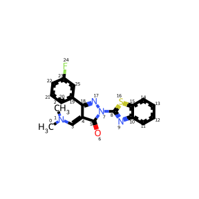 CN(C)/C=C1/C(=O)N(c2nc3ccccc3s2)N=C1c1cccc(F)c1